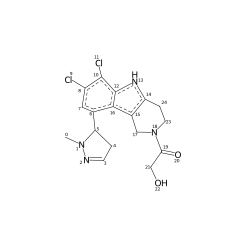 CN1N=CCC1c1cc(Cl)c(Cl)c2[nH]c3c(c12)CN(C(=O)CO)CC3